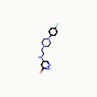 O=c1cc(NCCN2CCN(c3ccc(F)cc3)CC2)cn[nH]1